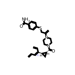 C=C/C=C(\C=C)[C@@H]1C[C@H]1C(=O)N1CCN(C(=C)CSc2ccc(C(N)=O)cc2)CC1